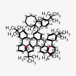 CC(C)(C)c1ccc2c(c1)B1c3ccc(C(C)(C)C)cc3N(c3ccc(C(C)(C)C)cc3-c3ccccc3)c3cc(N4c5ccc(C(C)(C)C)cc5C5(C)CCCCCCC45C)cc(c31)N2c1ccc(C(C)(C)C)cc1-c1ccccc1